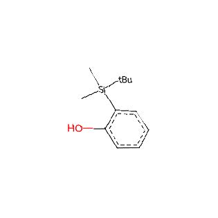 CC(C)(C)[Si](C)(C)c1ccccc1O